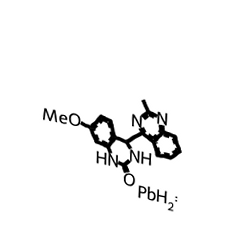 COc1ccc2c(c1)NC(=O)NC2c1nc(C)nc2ccccc12.[PbH2]